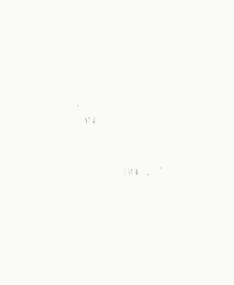 CC(C)(C)OC(=O)NCCCCCNC(=O)OC(C)(C)C